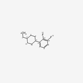 CCC1CCC(c2cccc(F)c2F)CC1